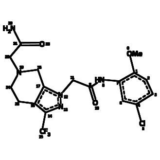 COc1ccc(Cl)cc1NC(=O)Cn1nc(C(F)(F)F)c2c1CN(CC(N)=O)CC2